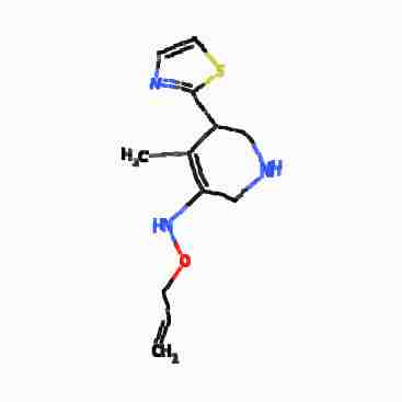 C=CCONC1=C(C)C(c2nccs2)CNC1